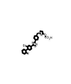 CCc1cc(-c2nc(-c3ccc(Cn4ccc(OC(=O)O)n4)cc3)no2)ccc1-c1ccccc1F